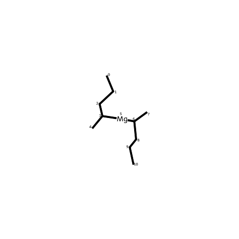 CCC[CH](C)[Mg][CH](C)CCC